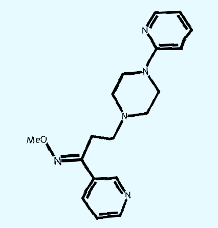 CO/N=C(\CCN1CCN(c2ccccn2)CC1)c1cccnc1